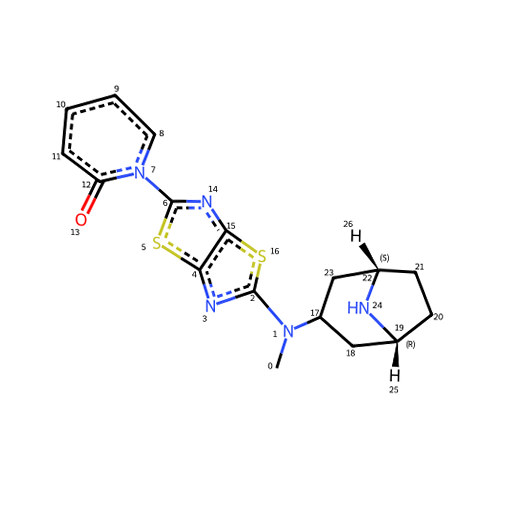 CN(c1nc2sc(-n3ccccc3=O)nc2s1)C1C[C@H]2CC[C@@H](C1)N2